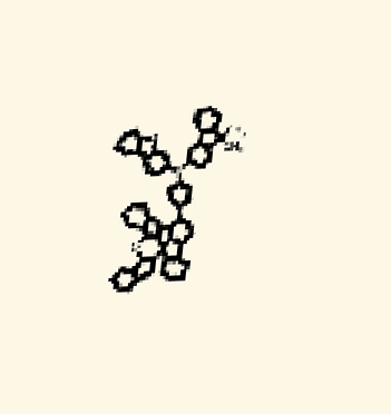 CC1(C)c2ccccc2-c2cc(N(c3ccc(-c4ccc5c(c4)C4(c6ccccc6-5)c5ccc6ccccc6c5Oc5c4ccc4ccccc54)cc3)c3ccc4c(c3)sc3ccccc34)ccc21